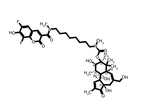 CC1=C[C@H]2[C@@]3(O)[C@H](C)[C@@H](O)[C@@](C)(OC(=O)N(C)CCCCCCCCN(C)C(=O)c4cc5cc(F)c(O)c(F)c5oc4=O)C(C)(C)[C@@H]3C=C(CO)C[C@]2(O)C1=O